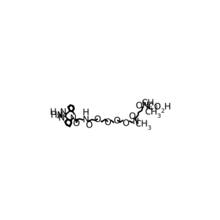 C[C@@H](C(=O)O)N(C)C(=O)CCCC(=O)N(C)CCOCCOCCOCCOCCC(=O)NCCC(=O)N1Cc2ccccc2C(N)C(N=N)c2ccccc21